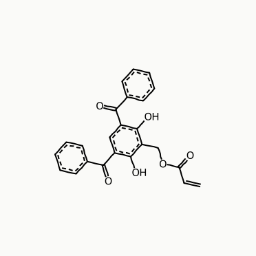 C=CC(=O)OCc1c(O)c(C(=O)c2ccccc2)cc(C(=O)c2ccccc2)c1O